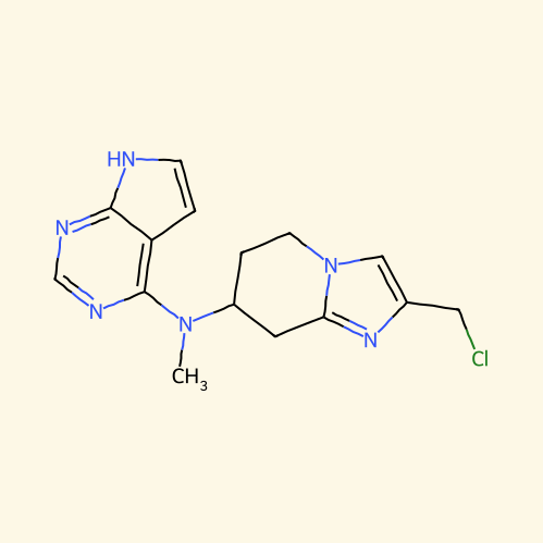 CN(c1ncnc2[nH]ccc12)C1CCn2cc(CCl)nc2C1